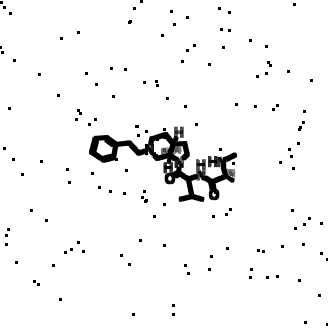 CN[C@@H](C)C(=O)NC(C(=O)N1CC[C@H]2CCN(CCc3ccccc3)C[C@H]21)C(C)C